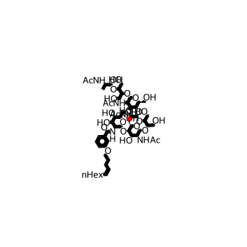 CCCCCC/C=C\CCCOc1cccc(C(=O)N[C@@H]2C(O[C@H]3C(O)C(NC(C)=O)[C@H](OC(CO)C(CO)O[C@@H](O[C@H]4C(O)C(NC(C)=O)C(OC(CO)C(CO)OC(O)[C@H](C)NC(C)=O)O[C@H]4CO)[C@H](C)NC(C)=O)O[C@H]3CO)OC(CO)[C@@H](O)C2O)c1